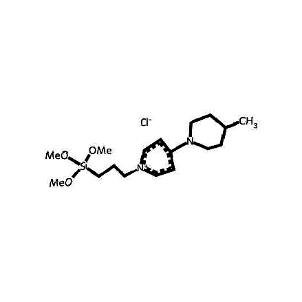 CO[Si](CCC[n+]1ccc(N2CCC(C)CC2)cc1)(OC)OC.[Cl-]